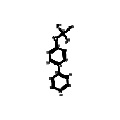 FC(F)(F)Oc1ccc(-c2c[c]ncn2)cc1